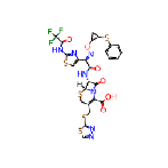 O=C(O)C1=C(CSc2nncs2)CS[C@@H]2[C@H](NC(=O)/C(=N/OC3CC3Sc3ccccc3)c3csc(NC(=O)C(F)(F)F)n3)C(=O)N12